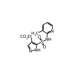 CCOC(=O)c1cn[nH]c1S(=O)(=O)Nc1ncccc1C